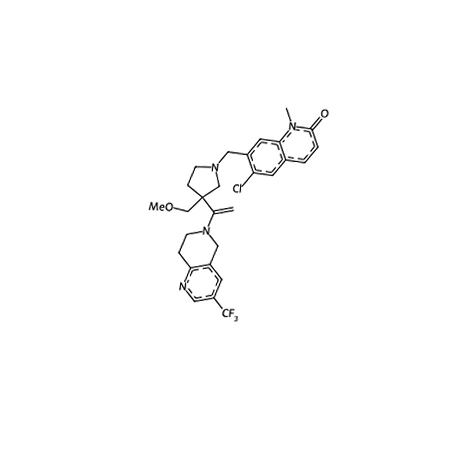 C=C(N1CCc2ncc(C(F)(F)F)cc2C1)C1(COC)CCN(Cc2cc3c(ccc(=O)n3C)cc2Cl)C1